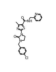 Cc1nc(N2CCN(Cc3ccc(Cl)cc3)C2=O)sc1C(=O)NCc1ccccn1